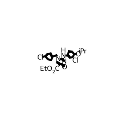 CCOC(=O)c1cn(CC2=CC=C(Cl)CC2)c(NC2=CC(Cl)C(OC(C)C)C=C2)nc1=O